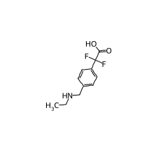 CCNCc1ccc(C(F)(F)C(=O)O)cc1